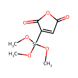 CO[Si](OC)(OC)C1=CC(=O)OC1=O